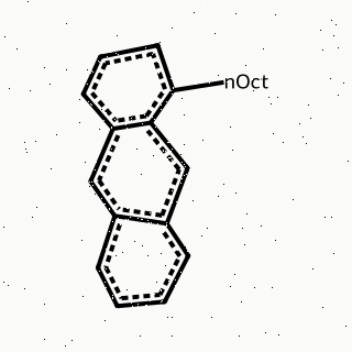 [CH2]CCCCCCCc1cccc2cc3ccccc3cc12